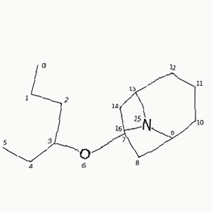 CCCC(CC)OC1CC2CCCC(C1)N2C